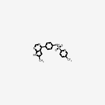 Cc1cc2c(-c3ccc(NS(=O)(=O)c4ccc(C(F)(F)F)cn4)cc3)ncnc2[nH]1